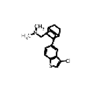 CN(C)CC1=C(c2ccc3scc(Cl)c3c2)C2CCC1CC2